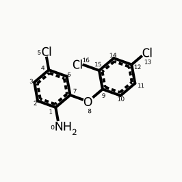 Nc1ccc(Cl)cc1Oc1ccc(Cl)cc1Cl